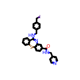 O=C(NCc1ccncc1)c1ccc2c(c1)N=C(NCc1ccc(CI)cc1)c1ccccc1S2